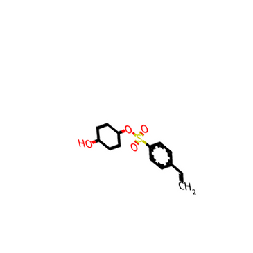 C=Cc1ccc(S(=O)(=O)OC2CCC(O)CC2)cc1